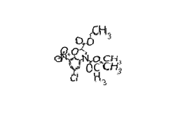 CCOC(=O)C1CN(C(=O)OC(C)(C)C)c2cc(Cl)cc([N+](=O)[O-])c2O1